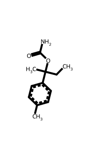 CCC(C)(OC(N)=O)c1ccc(C)cc1